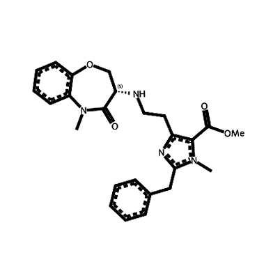 COC(=O)c1c(CCN[C@H]2COc3ccccc3N(C)C2=O)nc(Cc2ccccc2)n1C